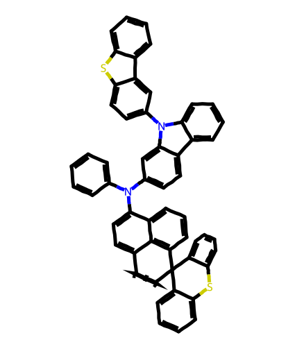 c1ccc(N(c2ccc3c4ccccc4n(-c4ccc5sc6ccccc6c5c4)c3c2)c2ccc3c4c(cccc24)C2(c4ccccc4Sc4ccccc42)c2ccccc2-3)cc1